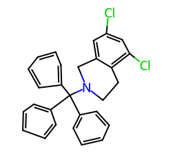 Clc1cc(Cl)c2c(c1)CN(C(c1ccccc1)(c1ccccc1)c1ccccc1)CC2